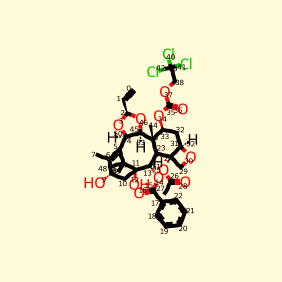 C=C[C@@H]1O[C@@H]2C3=C(C)[C@@H](O)C[C@@](O)([C@@H](OC(=O)c4ccccc4)[C@@H]4[C@]5(OC(C)=O)CO[C@@H]5C[C@H](OC(=O)OCC(Cl)(Cl)Cl)[C@@]4(C)[C@@H]2O1)C3(C)C